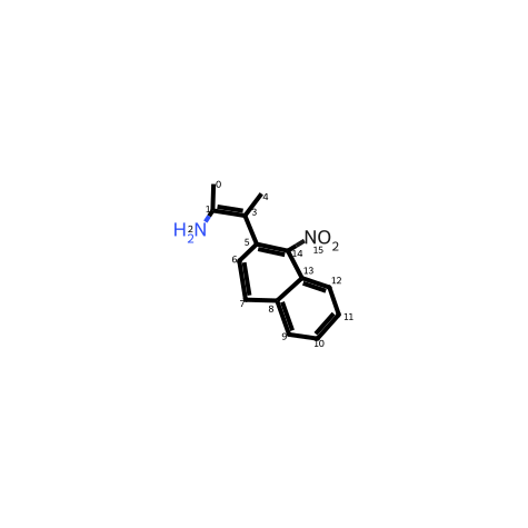 CC(N)=C(C)c1ccc2ccccc2c1[N+](=O)[O-]